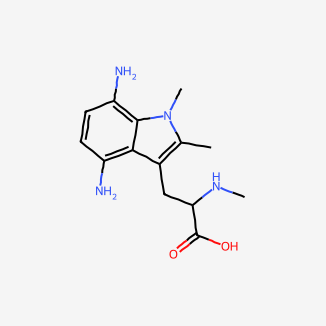 CNC(Cc1c(C)n(C)c2c(N)ccc(N)c12)C(=O)O